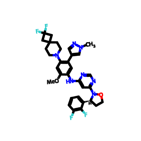 COc1cc(N2CCC3(CC2)CC(F)(F)C3)c(-c2cnn(C)c2)cc1Nc1cc(N2OCC[C@@H]2c2cccc(F)c2F)ncn1